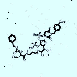 COc1ccc(Cn2c(=O)ccn([C@@H]3OC([C@H](O)[C@H](NCCCNC(=O)[C@H](CC(C)C)NC(=O)OCc4ccccc4)C(=O)O)[C@@H](O[Si](C)(C)C(C)(C)C)[C@H]3O[Si](C)(C)C(C)(C)C)c2=O)cc1